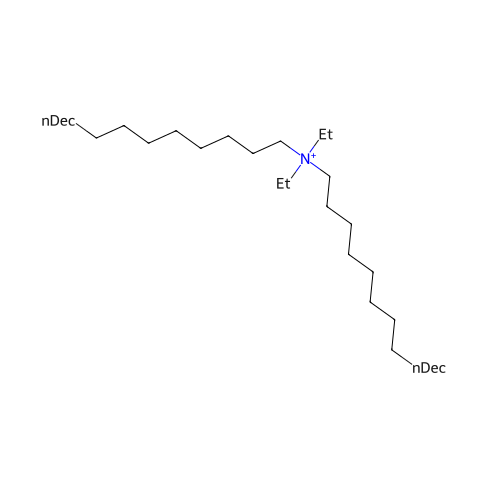 CCCCCCCCCCCCCCCCCC[N+](CC)(CC)CCCCCCCCCCCCCCCCCC